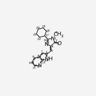 CN1C(=O)/C(=C/c2cc3cccnc3[nH]2)N=C1C1CCCCC1